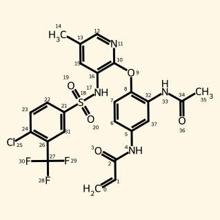 C=CC(=O)Nc1ccc(Oc2ncc(C)cc2NS(=O)(=O)c2ccc(Cl)c(C(F)(F)F)c2)c(NC(C)=O)c1